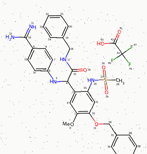 COc1cc(C(Nc2ccc(C(=N)N)cc2)C(=O)NCc2ccccc2)c(NS(C)(=O)=O)cc1OCc1ccccc1.O=C(O)C(F)(F)F